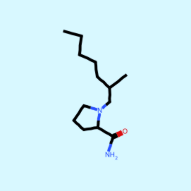 CCCCCC(C)CN1CCCC1C(N)=O